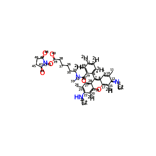 [2H]c1c([2H])c([2H])c(-c2c3cc(C)/c(=N/CC)c([2H])c-3oc3c([2H])c(NCC)c(C)cc23)c(C(=O)N(C)CCCCCC(=O)ON2C(=O)CCC2=O)c1[2H]